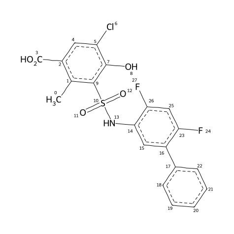 Cc1c(C(=O)O)cc(Cl)c(O)c1S(=O)(=O)Nc1cc(-c2ccccc2)c(F)cc1F